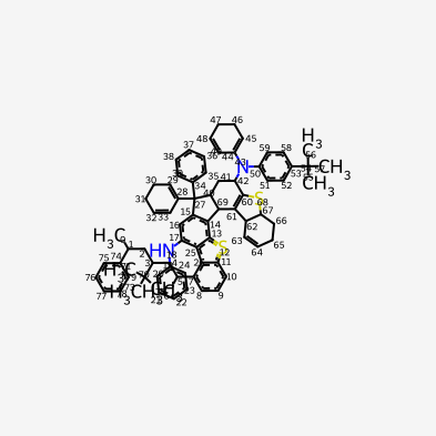 CC(CC(CC(C)c1cccc2sc3c4c(cc(Nc5ccccc5)c3c12)C(C1=CCCC=C1)(c1ccccc1)C1CC(N(C2=CCCC=C2)c2ccc(C(C)(C)C)cc2)C2=C(C3C=CCCC3S2)C41)C(C)(C)C)c1ccccc1